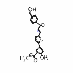 COC(=O)c1cc(-c2ccc(/C=C/C(=O)c3ccc(CO)cc3)o2)ccc1O